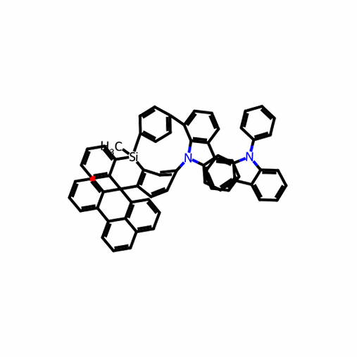 C[Si]12c3ccc(cc3)-c3cccc(-c4ccccc4)c3N(c3ccc4c5ccccc5n(-c5ccccc5)c4c3)c3ccc(c1c3)C1(c3ccccc3-c3cccc4cccc1c34)c1ccccc12